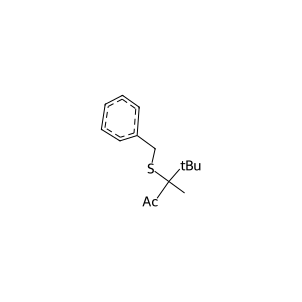 CC(=O)C(C)(SCc1ccccc1)C(C)(C)C